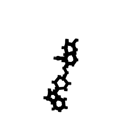 Cc1cc2ccn(CCN3CCC(c4noc5ccccc45)CC3)c(=O)c2cn1